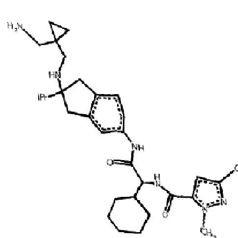 Cc1cc(C(=O)N[C@H](C(=O)Nc2ccc3c(c2)CC(NCC2(CN)CC2)(C(C)C)C3)C2CCCCC2)n(C)n1